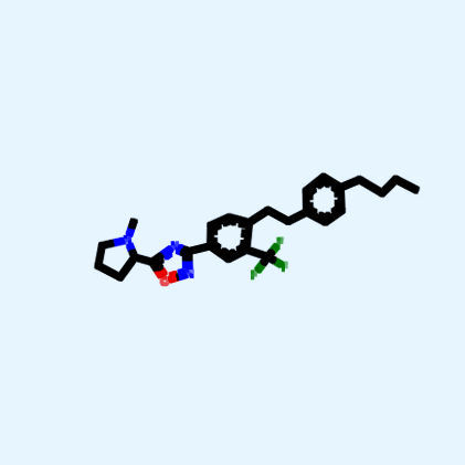 CCCCc1ccc(CCc2ccc(-c3noc(C4CCCN4C)n3)cc2C(F)(F)F)cc1